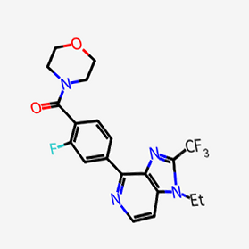 CCn1c(C(F)(F)F)nc2c(-c3ccc(C(=O)N4CCOCC4)c(F)c3)nccc21